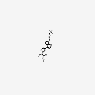 CCOC(=O)C(CC)n1cc(-c2ncnc3c2ccn3COCC[Si](C)(C)C)cn1